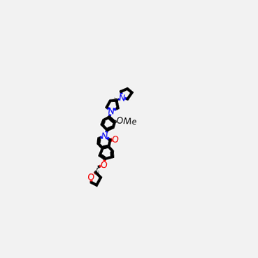 COc1cc(-n2ccc3cc(OC[C@@H]4CCCO4)ccc3c2=O)ccc1N1CC[C@@H](N2CCCC2)C1